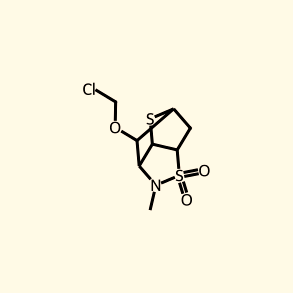 CN1C2C(OCCl)C3CC(C2S3)S1(=O)=O